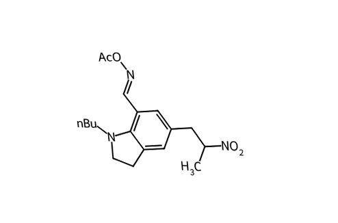 CCCCN1CCc2cc(CC(C)[N+](=O)[O-])cc(/C=N/OC(C)=O)c21